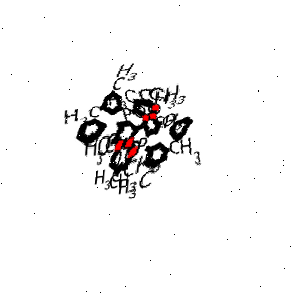 Cc1cc(C)cc(P(c2cc(C)cc(C)c2)c2cc(Oc3ccccc3)c3c(c2-c2c(P(c4cc(C)cc(C)c4)c4cc(C)cc(C)c4)cc(Oc4ccccc4)c4c2OC(C)(C)O4)OC(C)(C)O3)c1